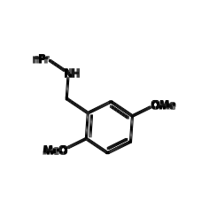 CCCNCc1cc(OC)ccc1OC